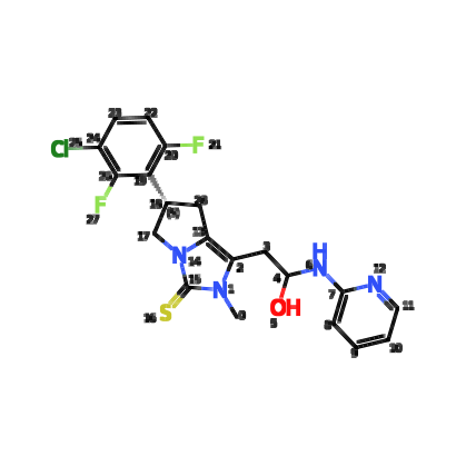 Cn1c(CC(O)Nc2ccccn2)c2n(c1=S)C[C@H](c1c(F)ccc(Cl)c1F)C2